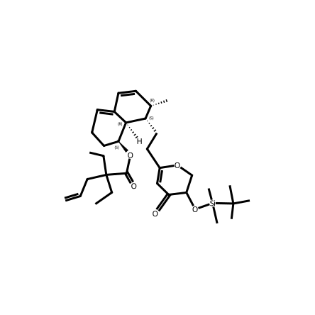 C=CCC(CC)(CC)C(=O)O[C@H]1CCC=C2C=C[C@H](C)[C@H](CCC3=CC(=O)C(O[Si](C)(C)C(C)(C)C)CO3)[C@H]21